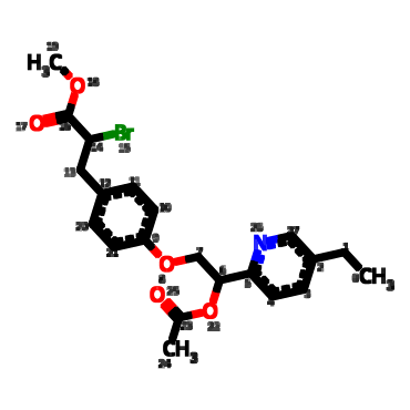 CCc1ccc(C(COc2ccc(CC(Br)C(=O)OC)cc2)OC(C)=O)nc1